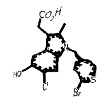 Cc1c(CC(=O)O)c2cc(O)c(Cl)cc2n1Cc1csc(Br)c1